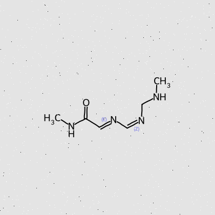 CNC/N=C\N=C\C(=O)NC